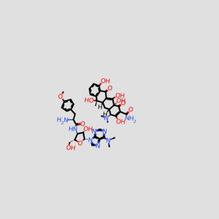 CN(C)[C@@H]1C(O)=C(C(N)=O)C(=O)[C@@]2(O)C(O)=C3C(=O)c4c(O)cccc4[C@@](C)(O)[C@H]3C[C@@H]12.COc1ccc(C[C@H](N)C(=O)N[C@H]2[C@@H](O)[C@H](n3cnc4c(N(C)C)ncnc43)O[C@@H]2CO)cc1